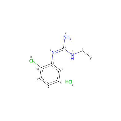 CCNC(N)=Nc1ccccc1Cl.Cl